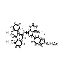 CC(=O)Nc1nc2cc(-c3nn(Cc4cc5cccc(C)c5c(=O)n4-c4ccccc4C)c4ncnc(N)c34)ccc2s1